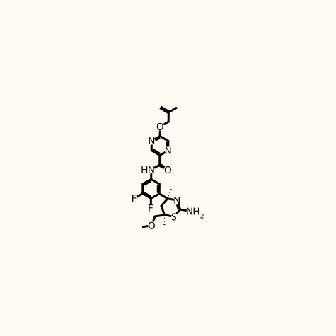 C=C(C)COc1cnc(C(=O)Nc2cc(F)c(F)c([C@]3(C)C[C@](C)(COC)SC(N)=N3)c2)cn1